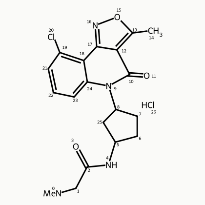 CNCC(=O)NC1CCC(n2c(=O)c3c(C)onc3c3c(Cl)cccc32)C1.Cl